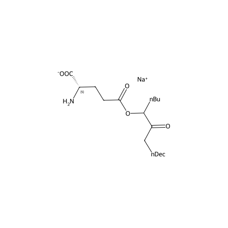 CCCCCCCCCCCC(=O)C(CCCC)OC(=O)CC[C@H](N)C(=O)[O-].[Na+]